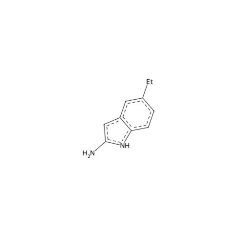 CCc1ccc2[nH]c(N)cc2c1